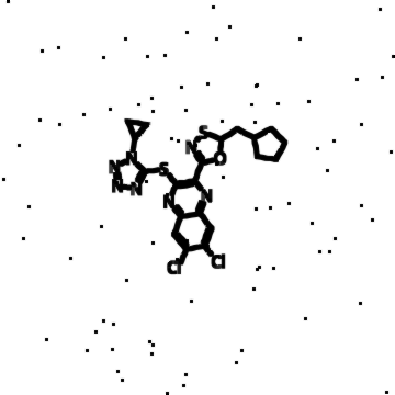 Clc1cc2nc(Sc3nnnn3C3CC3)c(C3=NSC(CC4CCCC4)O3)nc2cc1Cl